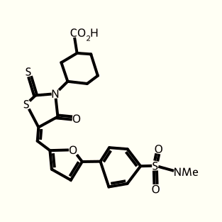 CNS(=O)(=O)c1ccc(-c2ccc(C=C3SC(=S)N(C4CCCC(C(=O)O)C4)C3=O)o2)cc1